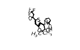 CC1(C)Oc2cc(C(=O)CC(F)(F)F)sc2[C@H](N2CCCC2=O)[C@H]1O